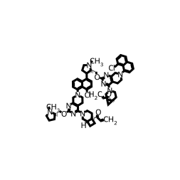 C=CC(=O)[C@@]12CCN(c3nc(OC[C@@H]4C(c5ccc(Cl)c6c(N7CCc8c(nc(OC[C@@H]9CCCN9C)nc8N8CC[C@@]9(C(=O)C=C)CC[C@H]9C8)C7)cccc56)CCN4C)nc4c3CCN(c3cccc5cccc(Cl)c35)C4)CC1C2